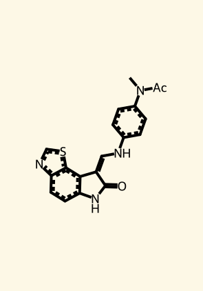 CC(=O)N(C)c1ccc(NC=C2C(=O)Nc3ccc4ncsc4c32)cc1